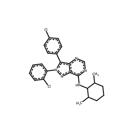 CC1CCCC(C)C1Nc1ncnc2c(-c3ccc(Cl)cc3)n(-c3ccccc3Cl)nc12